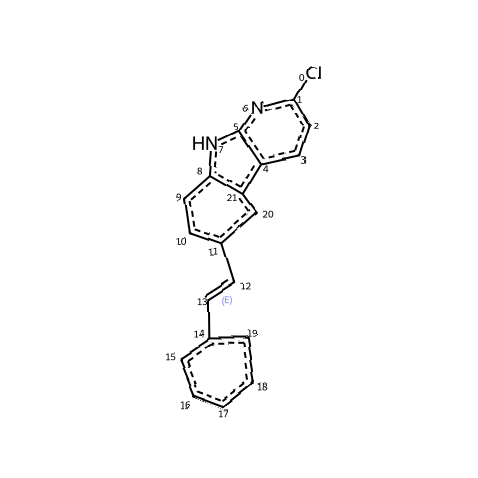 Clc1ccc2c(n1)[nH]c1ccc(/C=C/c3ccccc3)cc12